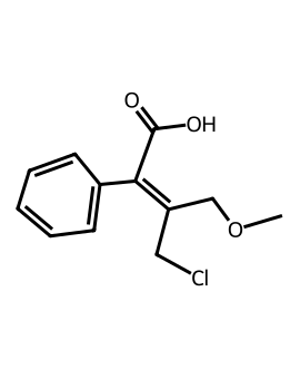 COCC(CCl)=C(C(=O)O)c1ccccc1